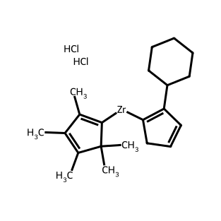 CC1=C(C)C(C)(C)[C]([Zr][C]2=C(C3CCCCC3)C=CC2)=C1C.Cl.Cl